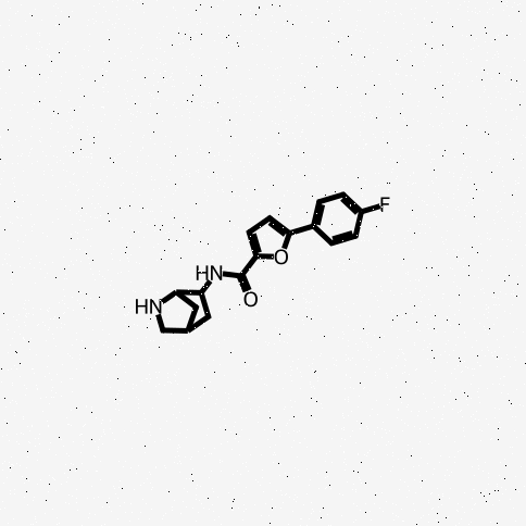 O=C(NC1CC2CNC1C2)c1ccc(-c2ccc(F)cc2)o1